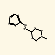 CN1CCC(NPc2ccccc2)CC1